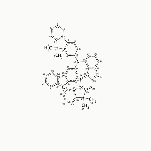 CC1(C)c2ccccc2-c2ccc(N(c3ccc4oc5ccccc5c4c3)c3cccc4oc5cc6c(cc5c34)-c3ccccc3C6(C)C)cc21